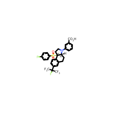 O=C(O)c1cccc(N2CC[C@@]3(S(=O)(=O)c4ccc(F)cc4)c4ccc(C(F)(C(F)(F)F)C(F)(F)F)cc4CC[C@@H]23)c1